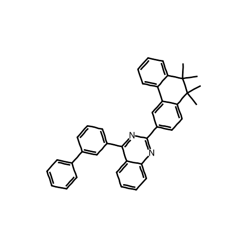 CC1(C)c2ccccc2-c2cc(-c3nc(-c4cccc(-c5ccccc5)c4)c4ccccc4n3)ccc2C1(C)C